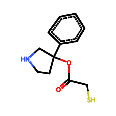 O=C(CS)OC1(c2ccccc2)CCNC1